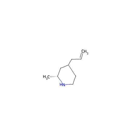 C=CCC1CCN[C@H](C)C1